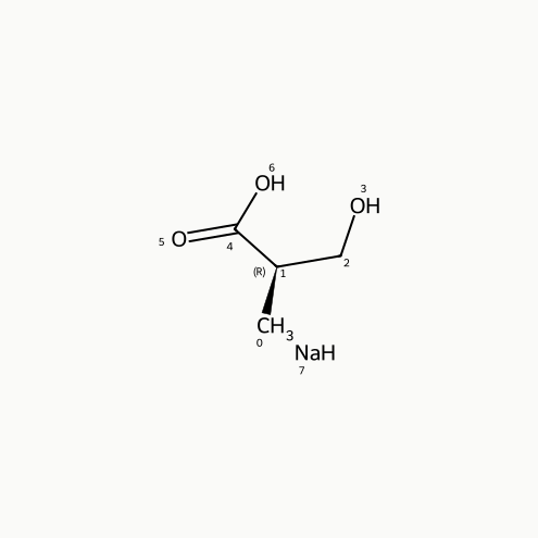 C[C@H](CO)C(=O)O.[NaH]